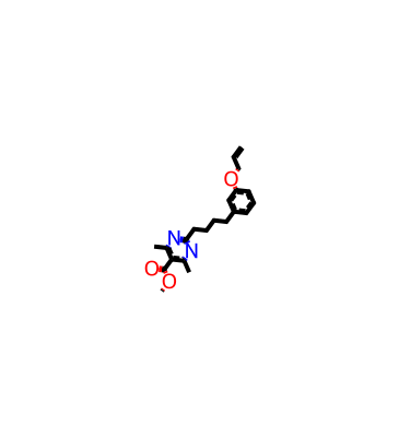 C=CCOc1cccc(CCCCc2nc(C)c(C(=O)OC)c(C)n2)c1